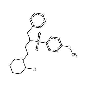 CCC1CCCCN1CCN(Cc1ccccc1)S(=O)(=O)c1ccc(OC(F)(F)F)cc1